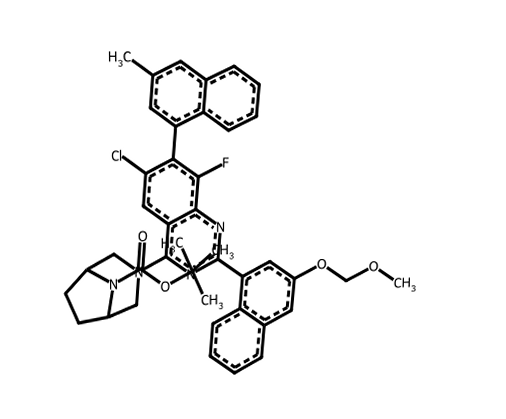 COCOc1cc(-c2nc(N3CC4CCC(C3)N4C(=O)OC(C)(C)C)c3cc(Cl)c(-c4cc(C)cc5ccccc45)c(F)c3n2)c2ccccc2c1